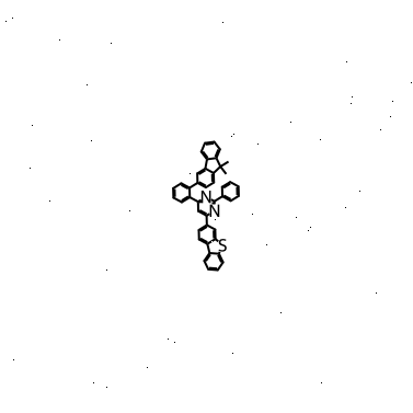 CC1(C)c2ccccc2-c2cc(-c3ccccc3-c3cc(-c4ccc5c(c4)sc4ccccc45)nc(-c4ccccc4)n3)ccc21